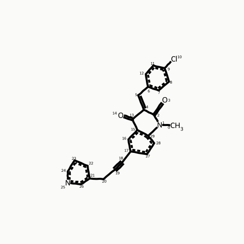 CN1C(=O)/C(=C\c2ccc(Cl)cc2)C(=O)c2cc(C#CCc3cccnc3)ccc21